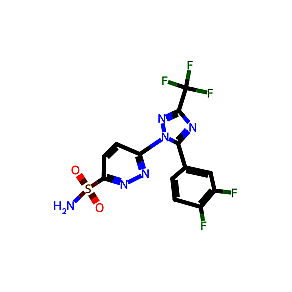 NS(=O)(=O)c1ccc(-n2nc(C(F)(F)F)nc2-c2ccc(F)c(F)c2)nn1